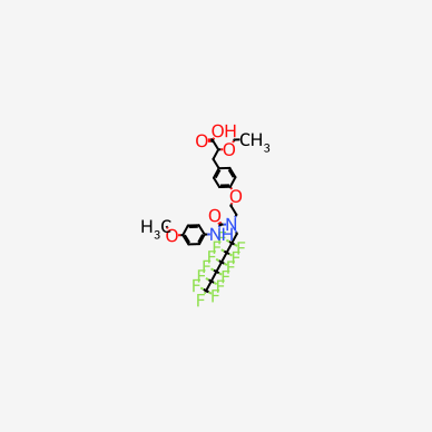 CCOC(Cc1ccc(OCCN(CC(F)(F)C(F)(F)C(F)(F)C(F)(F)C(F)(F)C(F)(F)F)C(=O)Nc2ccc(OC)cc2)cc1)C(=O)O